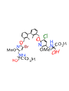 COc1nc(OCc2cccc(-c3cccc(COc4nc(OC)c(CN[C@@](C)(CO)C(=O)O)cc4Br)c3C)c2C)c(Cl)cc1CN[C@@](C)(CO)C(=O)O